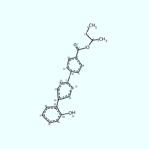 CCC(C)OC(=O)c1ccc(-c2ncc(-c3ccccc3O)cn2)cc1